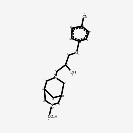 N#Cc1ccc(OCC(O)CN2CC3CC(C2)CN(C(=O)O)C3)cc1